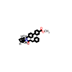 COC(=O)c1ccc(-c2ccc(CN(C(=O)CCc3ccccc3)[C@H]3C[C@H]4C[C@@H]([C@@H]3C)C4(C)C)cc2)cc1